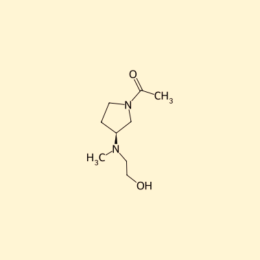 CC(=O)N1CC[C@H](N(C)CCO)C1